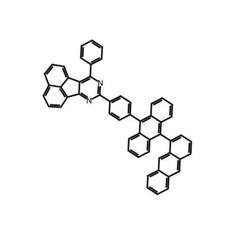 c1ccc(-c2nc(-c3ccc(-c4c5ccccc5c(-c5cccc6cc7ccccc7cc56)c5ccccc45)cc3)nc3c2-c2cccc4cccc-3c24)cc1